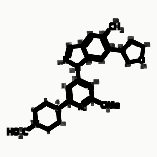 COc1nc(N2CCN(C(=O)O)CC2)cc(-n2ncc3cc(C)c(C4CCOC4)cc32)n1